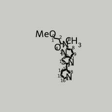 COCCC(=O)N(C)c1ccc2nc(-c3cccnc3)sc2n1